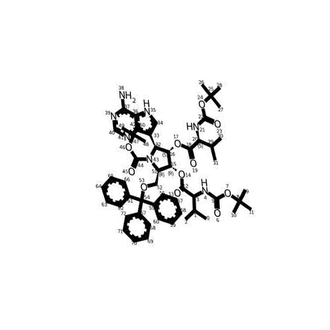 CC(C)C(NC(=O)OC(C)(C)C)C(=O)O[C@H]1[C@@H](OC(=O)[C@@H](NC(=O)OC(C)(C)C)C(C)C)[C@H](c2c[nH]c3c(N)ncnc23)N(C(=O)OC(C)(C)C)[C@@H]1COC(c1ccccc1)(c1ccccc1)c1ccccc1